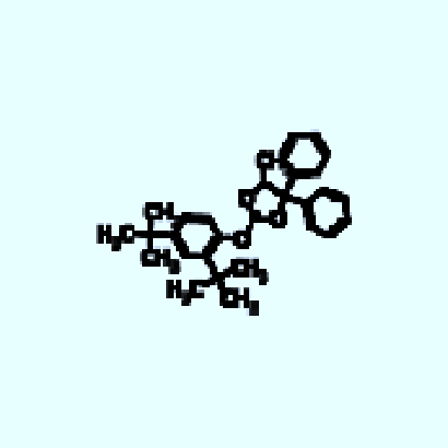 CC1OP(Oc2ccc(C(C)(C)C)cc2C(C)(C)C)OC1(c1ccccc1)c1ccccc1